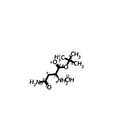 CC(C)(C)OC(=O)C(N)CC(N)=O.Cl